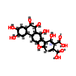 C=C(C(=O)O)/C(C(=O)O)=C(/O)c1c(C)oc2cc3c(c(O)c12)C(=O)C(=O)c1cc(O)c(O)cc1-3